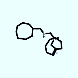 CN(CNCC1CCCCCCC1)C/C1=C\CCCCCC1